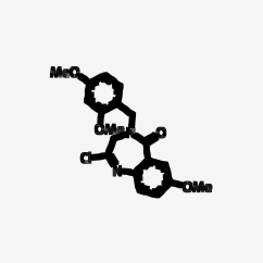 COc1ccc(CN2CC(Cl)=Nc3ccc(OC)cc3C2=O)c(OC)c1